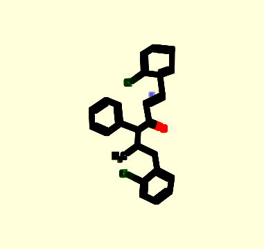 CC(Cc1ccccc1Cl)C(C(=O)/C=C/c1ccccc1Cl)c1ccccc1